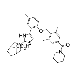 Cc1ccc(OCc2c(C)cc(C(=O)N3CCCCC3)cc2C)c(C2=CSC(N3CC4CCC(C3)C4C(=O)O)N2)c1